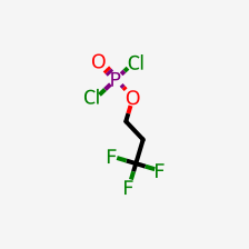 O=P(Cl)(Cl)OCCC(F)(F)F